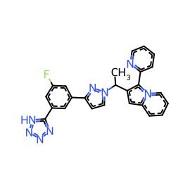 CC(c1cc2ccccn2c1-c1ccccn1)n1ccc(-c2cc(F)cc(-c3nnn[nH]3)c2)n1